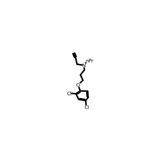 C#CCN([CH]CC)CCCOc1ccc(Cl)cc1Cl